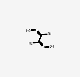 N#CC(=N/O)/C(C#N)=N\O